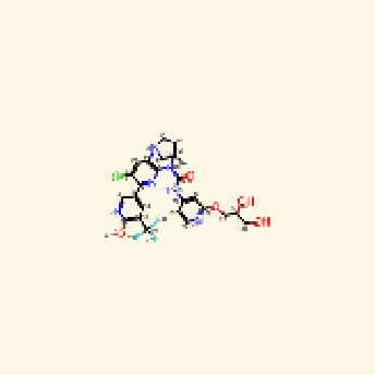 COc1ncc(-c2nc3c(cc2Cl)N2CC[C@@H](C2)N3C(=O)Nc2ccnc(OCC(O)CO)c2)cc1C(F)(F)F